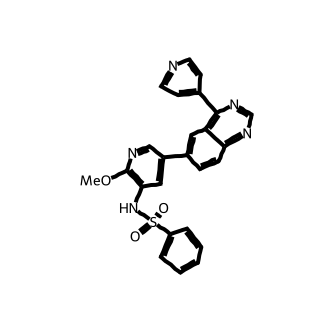 COc1ncc(-c2ccc3ncnc(-c4ccncc4)c3c2)cc1NS(=O)(=O)c1ccccc1